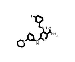 NC(=O)c1cnc(Nc2cccc(N3CCCCC3)c2)cc1NCc1cccc(F)c1